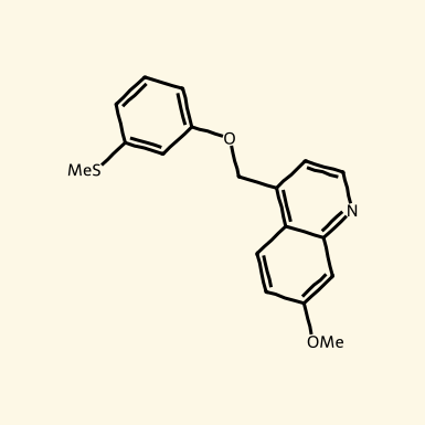 COc1ccc2c(COc3cccc(SC)c3)ccnc2c1